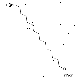 CCCCCCCCCCCCCCCCCCCCCCCCOCCCCCCCCC